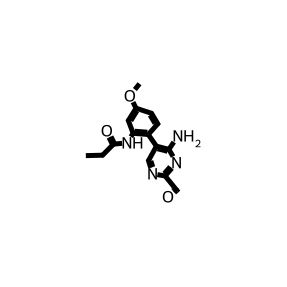 CCC(=O)Nc1cc(OC)ccc1-c1cnc(C=O)nc1N